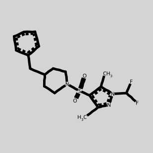 Cc1nn(C(F)F)c(C)c1S(=O)(=O)N1CCC(Cc2ccccc2)CC1